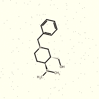 CN(C)[C@H]1CCN(Cc2ccccc2)C[C@@H]1CO